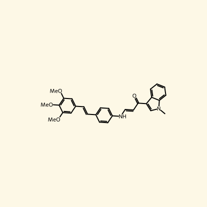 COc1cc(C=Cc2ccc(NC=CC(=O)c3cn(C)c4ccccc34)cc2)cc(OC)c1OC